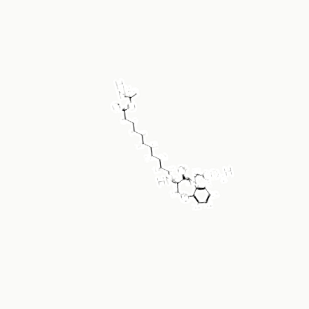 CC(N)OC(=O)CCCCCCCCCCNC1COc2ccccc2N(CC(=O)O)C1=O